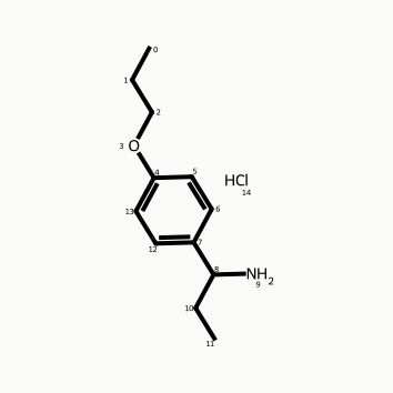 CCCOc1ccc(C(N)CC)cc1.Cl